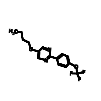 CCCCOc1cnc(-c2ccc(OC(F)(F)F)cc2)nc1